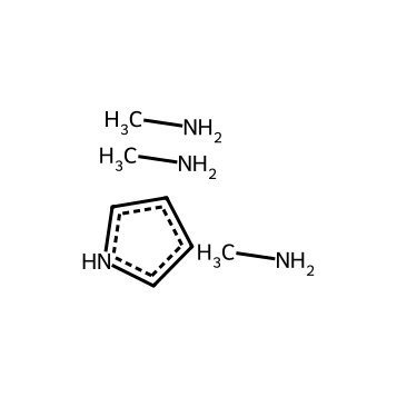 CN.CN.CN.c1cc[nH]c1